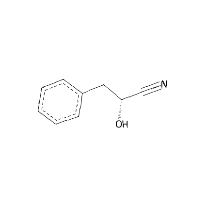 N#C[C@H](O)Cc1ccccc1